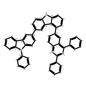 c1ccc(-c2nc(-c3ccccc3)c3cc(-c4cccc5oc6ccc(-c7ccc8c(c7)c7ccccc7n8-c7ccccc7)cc6c45)ccc3n2)cc1